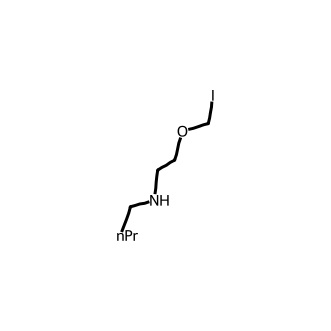 CCCCNCCOCI